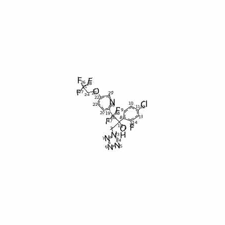 OC(Cn1cnnn1)(c1ccc(Cl)cc1F)C(F)(F)c1ccc(OCC(F)(F)F)cn1